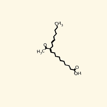 CCCCC/C=C/C/C(=C\CCCCCCCCC(=O)O)C(C)=O